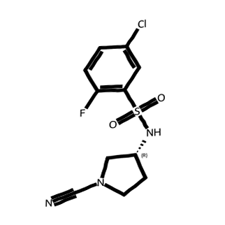 N#CN1CC[C@@H](NS(=O)(=O)c2cc(Cl)ccc2F)C1